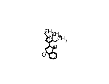 CCc1cc(C2=CC(=O)c3ccccc3C2=O)c(CC)n1C